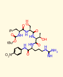 CC(C)C[C@H](NC(=O)OC(C)(C)C)C(=O)N[C@@H](CO)C(=O)N[C@H](C(=O)N[C@@H](CCCNC(=N)N)C(=O)Nc1ccc([N+](=O)[O-])cc1)[C@@H](C)O